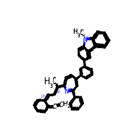 C=C=c1cccc/c1=C/C=C(\C)C1=C=CC(c2cccc(-c3ccc4c(c3)c3ccccc3n4C)c2)=CC(c2ccccc2)=N1